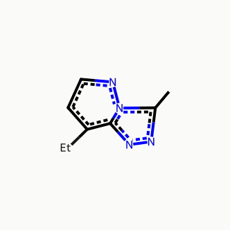 CCc1ccnn2c(C)nnc12